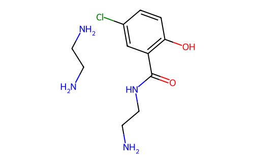 NCCN.NCCNC(=O)c1cc(Cl)ccc1O